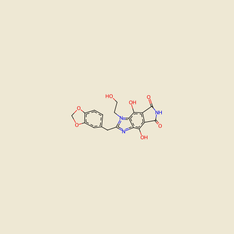 O=C1NC(=O)c2c1c(O)c1nc(Cc3ccc4c(c3)OCO4)n(CCO)c1c2O